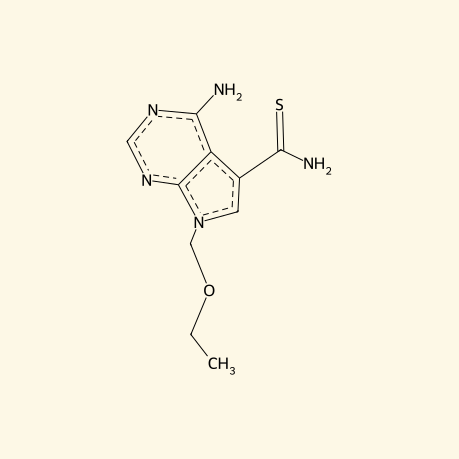 CCOCn1cc(C(N)=S)c2c(N)ncnc21